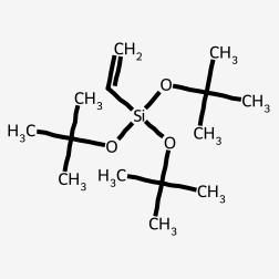 C=C[Si](OC(C)(C)C)(OC(C)(C)C)OC(C)(C)C